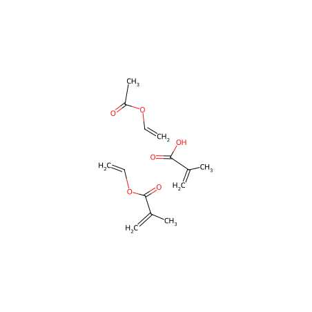 C=C(C)C(=O)O.C=COC(=O)C(=C)C.C=COC(C)=O